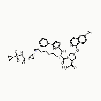 COc1ccc2c(O[C@@H]3C[C@@H](C(N)=O)N(C(=O)[C@H](CCCCC/C=C\[C@@H]4C[C@@H]4C(=O)NS(=O)(=O)C4CC4)Nc4nc(-c5ccccc5)cs4)C3)nccc2c1